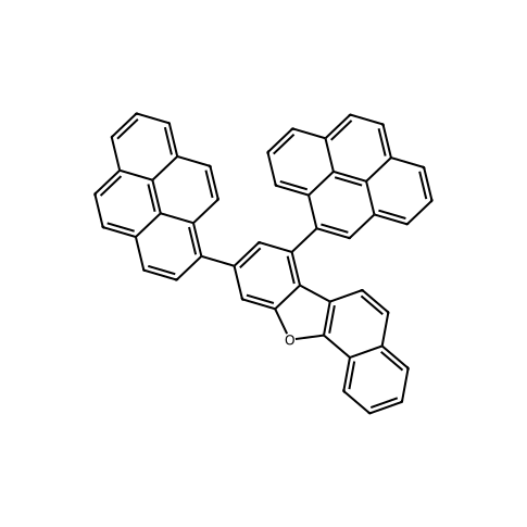 c1ccc2c(c1)ccc1c2oc2cc(-c3ccc4ccc5cccc6ccc3c4c56)cc(-c3cc4cccc5ccc6cccc3c6c54)c21